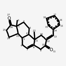 CC12CCC3C(CC=C4CC(=O)/C(=C/c5ccccc5)CC43C)C1CCC2=O